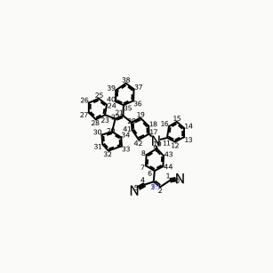 N#C/C=C(/C#N)c1ccc(N(c2ccccc2)c2ccc(C(=C(c3ccccc3)c3ccccc3)c3ccccc3)cc2)cc1